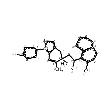 CC1=Cc2c(cnn2-c2ccc(F)cc2)C[C@]1(C)CC(O)c1c(C)ccc2ccccc12